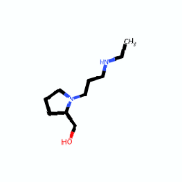 CCNCCCN1CCCC1CO